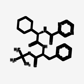 CC(C)(C)OC(=O)[C@H](Cc1ccccc1)NC(=O)[C@@H](NC(=O)c1cnccn1)C1CCCCC1